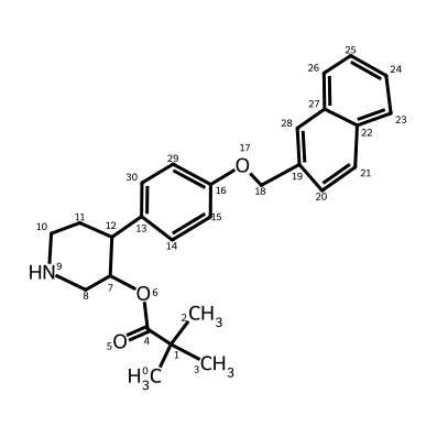 CC(C)(C)C(=O)OC1CNCCC1c1ccc(OCc2ccc3ccccc3c2)cc1